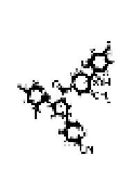 C[C@@H]1CN(C(=O)[C@@H]2CN(c3ccc(C#N)nn3)C[C@H]2c2ncc(F)cc2F)C[C@H](C)[C@]1(O)c1ccc(F)cc1